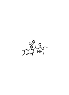 CCOC(=O)C(N)C(CP(=O)(OC)OC)c1cnc2cc(C)c(C)cc2n1